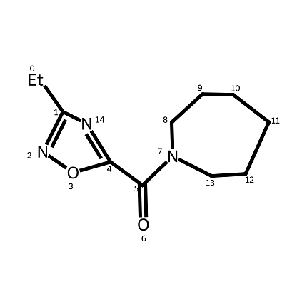 CCc1noc(C(=O)N2CCCCCC2)n1